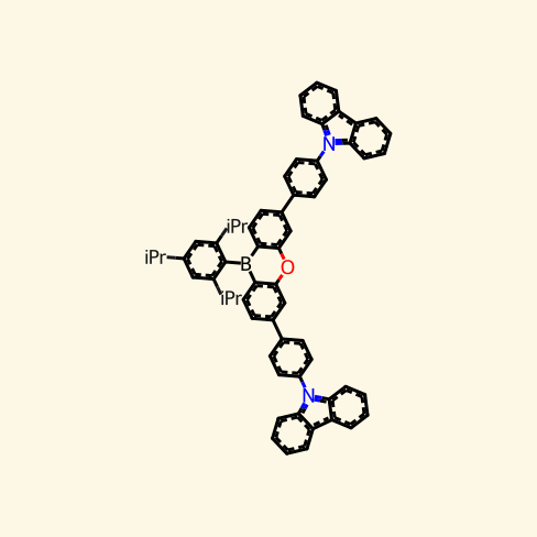 CC(C)c1cc(C(C)C)c(B2c3ccc(-c4ccc(-n5c6ccccc6c6ccccc65)cc4)cc3Oc3cc(-c4ccc(-n5c6ccccc6c6ccccc65)cc4)ccc32)c(C(C)C)c1